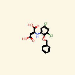 O=C(O)/C=C(\Nc1cc(Cl)cc(Cl)c1OCc1ccccc1)C(=O)O